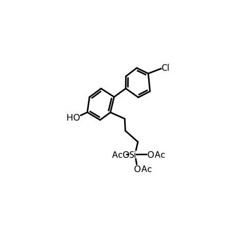 CC(=O)O[Si](CCCc1cc(O)ccc1-c1ccc(Cl)cc1)(OC(C)=O)OC(C)=O